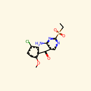 CCS(=O)(=O)c1ncc(C(=O)c2cc(Cl)ccc2OC)c(N)n1